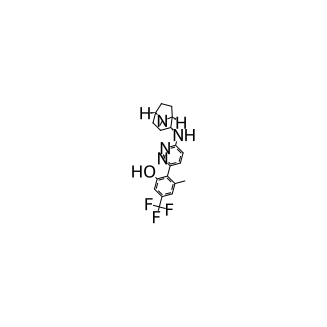 Cc1cc(C(F)(F)F)cc(O)c1-c1ccc(N[C@H]2CC[C@@H]3CC[C@H]2N3C)nn1